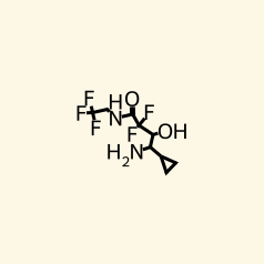 NC(C1CC1)C(O)C(F)(F)C(=O)NCC(F)(F)F